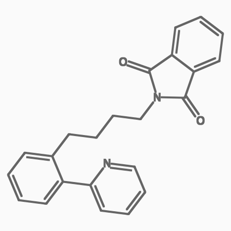 O=C1c2ccccc2C(=O)N1CCCCc1ccccc1-c1ccccn1